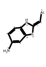 CC(=O)/C=C1\Nc2ccc(N)cc2S1